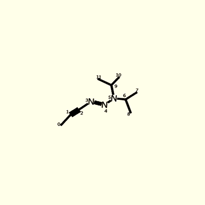 CC#C/N=N/N(C(C)C)C(C)C